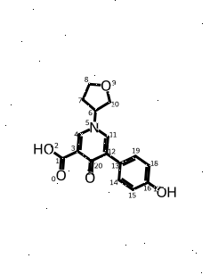 O=C(O)c1cn(C2CCOC2)cc(-c2ccc(O)cc2)c1=O